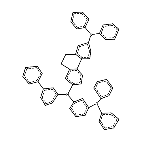 c1ccc(-c2cccc(N(c3cccc(N(c4ccccc4)c4ccccc4)c3)c3ccc4c(c3)CCc3cc(N(c5ccccc5)c5ccccc5)ccc3-4)c2)cc1